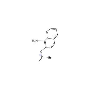 C/C(Br)=C/c1ccc2ccccc2c1N